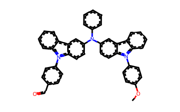 COc1ccc(-n2c3ccccc3c3cc(N(c4ccccc4)c4ccc5c(c4)c4ccccc4n5-c4ccc(C=O)cc4)ccc32)cc1